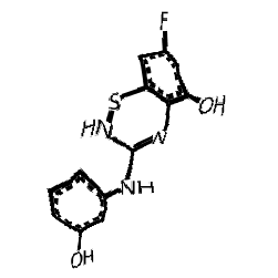 Oc1cccc(NC2=Nc3c(O)cc(F)cc3SN2)c1